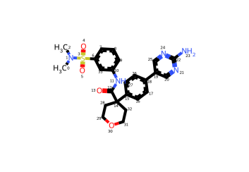 CN(C)S(=O)(=O)c1cccc(NC(=O)C2(c3ccc(-c4cnc(N)nc4)cc3)CCOCC2)c1